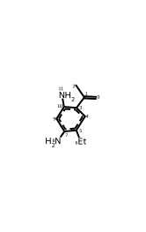 C=C(C)c1cc(CC)c(N)cc1N